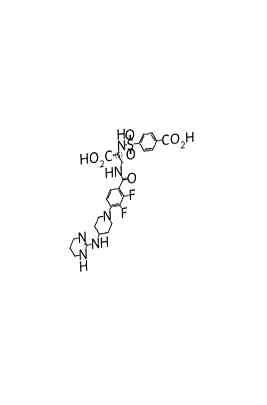 O=C(O)c1ccc(S(=O)(=O)N[C@@H](CNC(=O)c2ccc(N3CCC(NC4=NCCCN4)CC3)c(F)c2F)C(=O)O)cc1